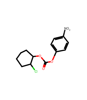 O=C(Oc1ccc([N+](=O)[O-])cc1)OC1CCCCC1Cl